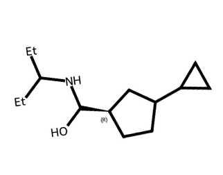 CCC(CC)NC(O)[C@@H]1CCC(C2CC2)C1